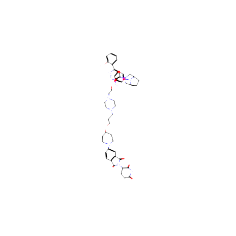 Nc1nnc(-c2ccccc2O)cc1N1CC2CCC(C1)N2c1cccc(OCCN2CCN(CCCOC3CCN(c4ccc5c(c4)C(=O)N(C4CCC(=O)NC4=O)C5=O)CC3)CC2)c1